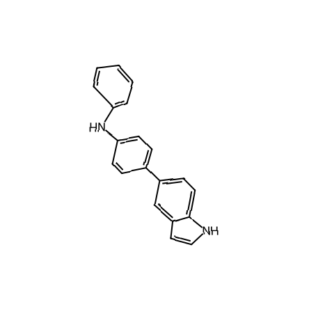 c1ccc(Nc2ccc(-c3ccc4[nH]ccc4c3)cc2)cc1